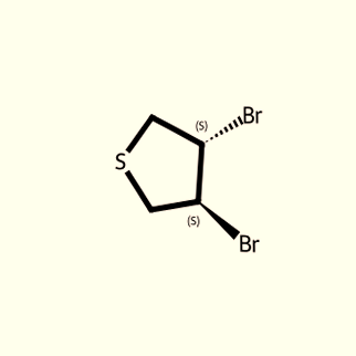 Br[C@H]1CSC[C@@H]1Br